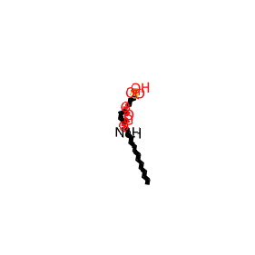 CCCCCCCCCCCCCCOC(=O)/C=C\C(=O)OCCCS(=O)(=O)O.[NaH]